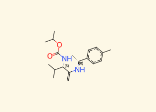 C=C(N[C@H](C)c1ccc(C)cc1)[C@@H](NC(=O)OC(C)C)C(C)C